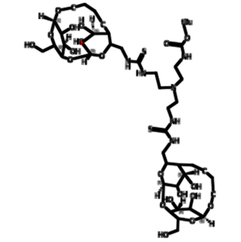 CC(C)(C)OC(=O)NCCN(CCNC(=S)NCC1O[C@@H]2OC3C(CO)O[C@H](OCCCCC1[C@H](O)C2O)C(O)[C@H]3O)CCNC(=S)NCC1O[C@@H]2OC3C(CO)O[C@H](OCCCCC1[C@H](O)C2O)C(O)[C@H]3O